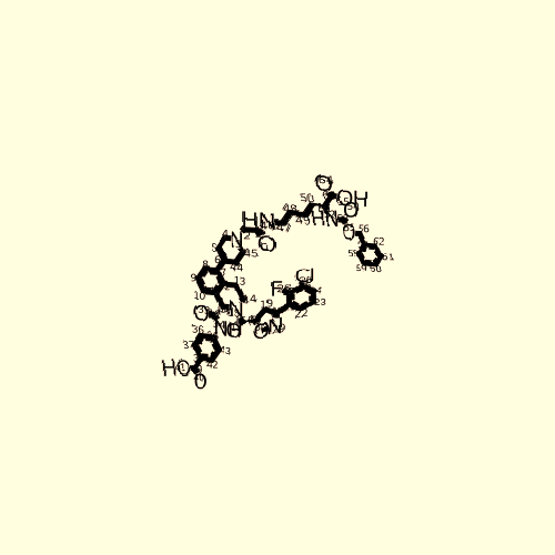 O=C(CN1CC=C(c2cccc3c2CCN(C(=O)[C@H]2CC(c4cccc(Cl)c4F)=NO2)[C@@H]3C(=O)Nc2ccc(C(=O)O)cc2)CC1)NCCCC[C@H](NC(=O)OCc1ccccc1)C(=O)O